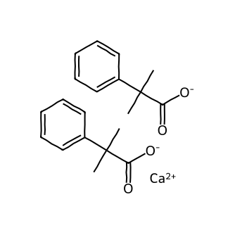 CC(C)(C(=O)[O-])c1ccccc1.CC(C)(C(=O)[O-])c1ccccc1.[Ca+2]